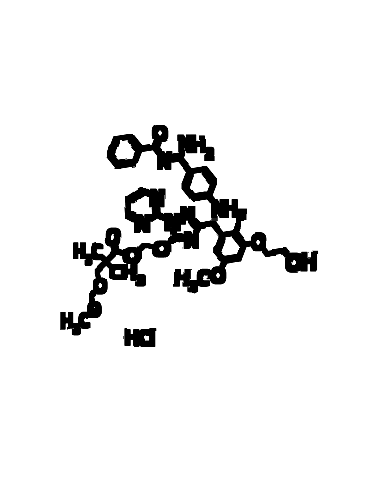 COCOCC(C)(C)C(=O)OCOc1nc([C@H](Nc2ccc(/C(N)=N/C(=O)c3ccccc3)cc2)c2cc(OC)cc(OCCO)c2F)nn1-c1ncccn1.Cl